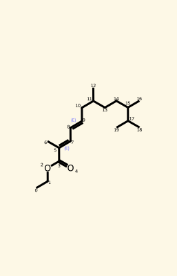 CCOC(=O)/C(C)=C/C=C/CC(C)CCC(C)C(C)C